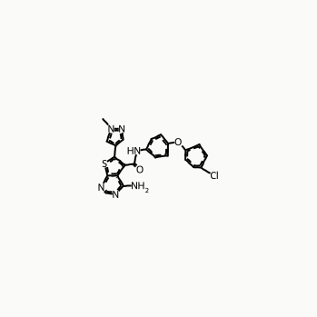 Cn1cc(-c2sc3ncnc(N)c3c2C(=O)Nc2ccc(Oc3ccc(Cl)cc3)cc2)cn1